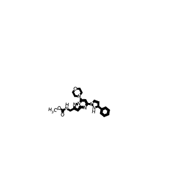 COC(=O)NCc1cc2nc(N3C=CC(c4ccccc4)N3)cc(N3CCOCC3)n2n1